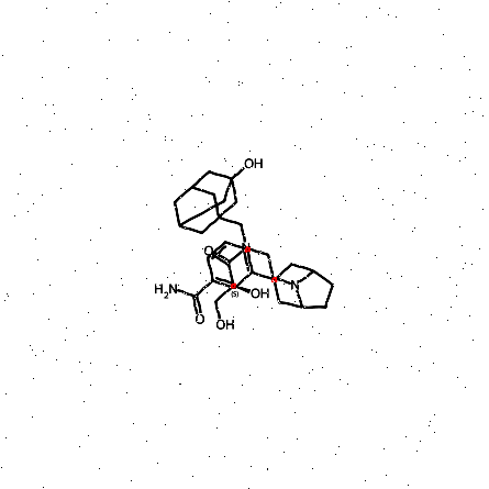 NC(=O)c1cccc(C2CC3CCC(C2)N3CCN(CC23CC4CC(CC(O)(C4)C2)C3)C(=O)[C@@H](O)CO)c1